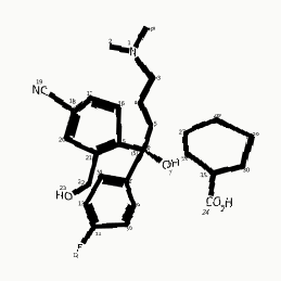 CN(C)CCC[C@](O)(c1ccc(F)cc1)c1ccc(C#N)cc1CO.O=C(O)C1CCCCC1